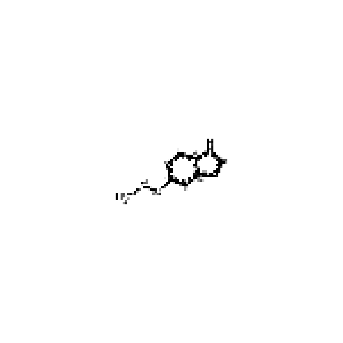 CSOc1ccc2[nH]ccc2c1